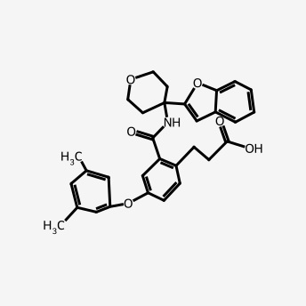 Cc1cc(C)cc(Oc2ccc(CCC(=O)O)c(C(=O)NC3(c4cc5ccccc5o4)CCOCC3)c2)c1